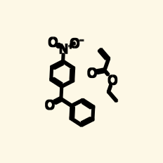 C=CC(=O)OCC.O=C(c1ccccc1)c1ccc([N+](=O)[O-])cc1